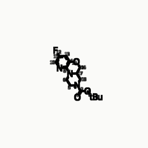 CC(C)(C)OC(=O)N1CCN2c3ncc(F)cc3OCC2C1